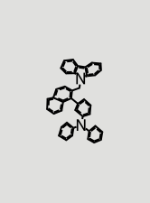 c1ccc(N(c2ccccc2)c2cccc(-c3c(Cn4c5ccccc5c5ccccc54)ccc4ccccc34)c2)cc1